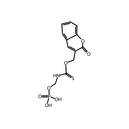 O=c1oc2ccccc2cc1COC(=S)NCOP(=O)(O)O